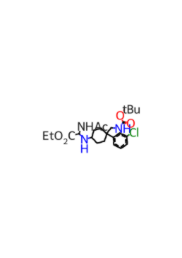 CCOC(=O)C(NC(C)=O)NC1CCC(CNC(=O)OC(C)(C)C)(c2cccc(Cl)c2)CC1